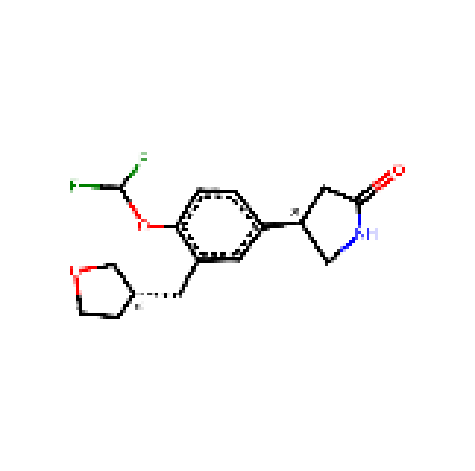 O=C1C[C@H](c2ccc(OC(F)F)c(C[C@@H]3CCOC3)c2)CN1